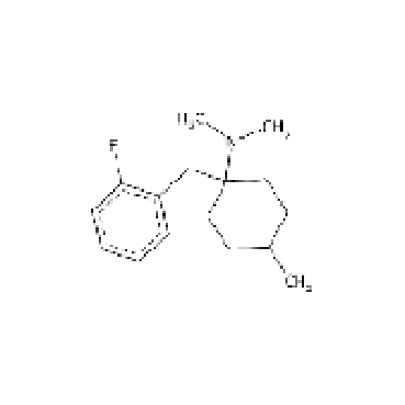 CC1CCC(Cc2ccccc2F)(N(C)C)CC1